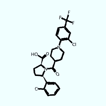 O=C(O)[C@@H]1CC[C@H](c2ccccc2Cl)N1C(=O)C1CCN(c2ccc(C(F)(F)F)cc2Cl)CC1